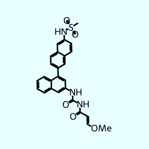 CO/C=C/C(=O)NC(=O)Nc1cc(-c2ccc3cc(NS(C)(=O)=O)ccc3c2)c2ccccc2c1